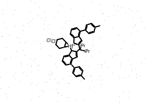 Cc1ccc(-c2cccc3c2C=C(CC(C)C)[CH]3[Hf+2]2([CH]3C(CC(C)C)=Cc4c(-c5ccc(C)cc5)cccc43)[CH]3CCCC[CH]32)cc1.[Cl-].[Cl-]